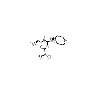 C1COCCN1.C=CCNC(CC)OC(=O)C(C)O